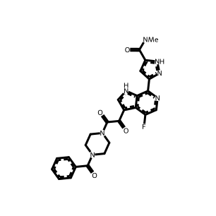 CNC(=O)c1cc(-c2ncc(F)c3c(C(=O)C(=O)N4CCN(C(=O)c5ccccc5)CC4)c[nH]c23)n[nH]1